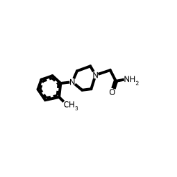 Cc1ccccc1N1CCN(CC(N)=O)CC1